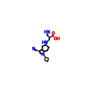 N#Cc1cn(C2CCC2)c2ccc(N/C=C(\C=N)C(=O)O)cc12